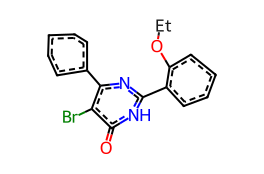 CCOc1ccccc1-c1nc(-c2ccccc2)c(Br)c(=O)[nH]1